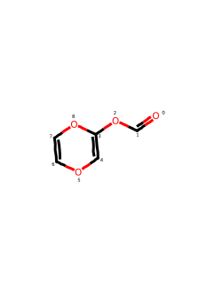 O=COC1=COC=CO1